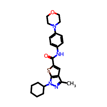 Cc1nn(C2CCCCC2)c2sc(C(=O)Nc3ccc(N4CCOCC4)cc3)cc12